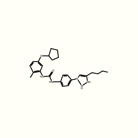 CCCCC1=CN(c2ccc(NC(=O)Nc3cc(OC4CCCC4)ccc3C)cc2)NN1